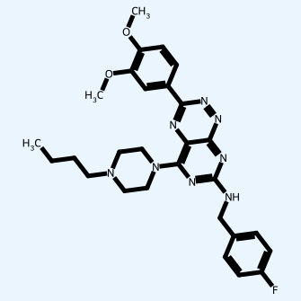 CCCCN1CCN(c2nc(NCc3ccc(F)cc3)nc3nnc(-c4ccc(OC)c(OC)c4)nc23)CC1